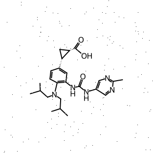 Cc1ncc(NC(=O)Nc2cc([C@@H]3C[C@@H]3C(=O)O)ccc2N(CC(C)C)CC(C)C)cn1